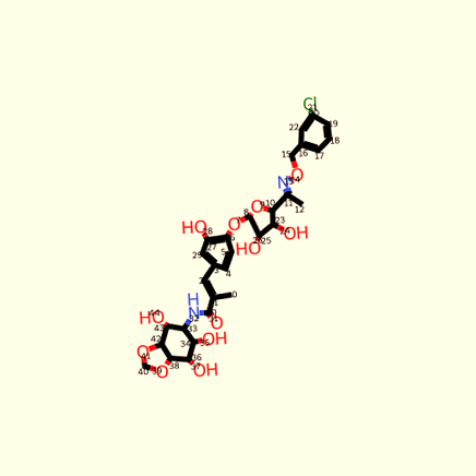 CC(=Cc1ccc(OC2OC(C(C)=NOCc3cccc(Cl)c3)C(O)C2O)c(O)c1)C(=O)NC1C(O)C(O)C2OCOC2C1O